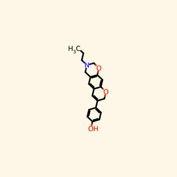 CCCN1COc2cc3c(cc2C1)C=C(c1ccc(O)cc1)CO3